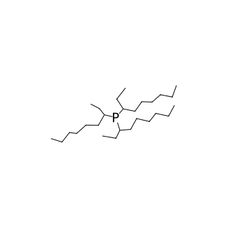 CCCCCCC(CC)P(C(CC)CCCCCC)C(CC)CCCCCC